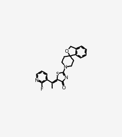 C/C(=C1/SC(N2CCC3(CC2)OCc2ccccc23)=NC1=O)c1cccnc1F